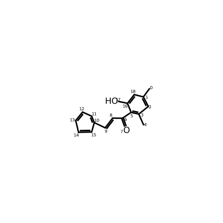 Cc1cc(C)c(C(=O)C=Cc2ccccc2)c(O)c1